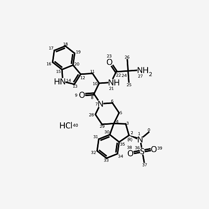 CN([C@@H]1CC2(CCN(C(=O)C(Cc3c[nH]c4ccccc34)NC(=O)C(C)(C)N)CC2)c2ccccc21)S(C)(=O)=O.Cl